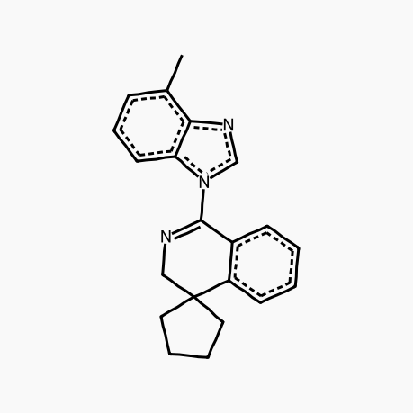 Cc1cccc2c1ncn2C1=NCC2(CCCC2)c2ccccc21